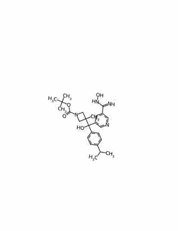 CC(C)c1ccc(C(O)(c2cncc(C(=N)NO)c2)C2(C)CN(C(=O)OC(C)(C)C)C2)cc1